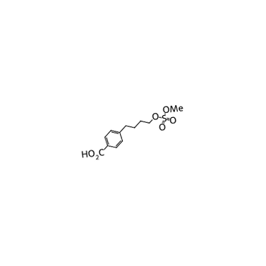 COS(=O)(=O)OCCCCc1ccc(C(=O)O)cc1